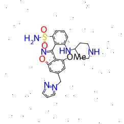 COc1cc(Cn2cccn2)cc2onc(-c3c(NC4CCNCC4)cccc3S(N)(=O)=O)c12